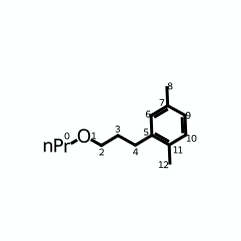 CCCOCCCc1cc(C)ccc1C